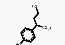 O=C(O)C(CCO)c1ccc(O)cc1